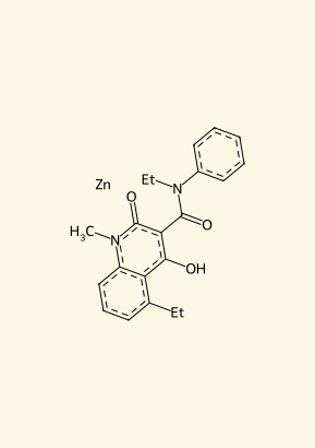 CCc1cccc2c1c(O)c(C(=O)N(CC)c1ccccc1)c(=O)n2C.[Zn]